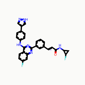 O=C(/C=C/c1cccc(-c2nc(Nc3ccc(-c4cn[nH]c4)cc3)c3ccc(F)cc3n2)c1)NC1CC1F